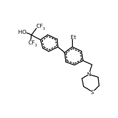 CCc1cc(CN2CCSCC2)ccc1-c1ccc(C(O)(C(F)(F)F)C(F)(F)F)cc1